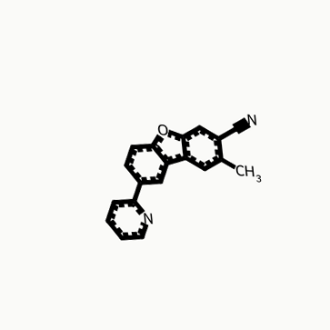 Cc1cc2c(cc1C#N)oc1ccc(-c3ccccn3)cc12